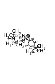 CC1(C)CC(NS(=O)(=O)c2ccc(C(C)(C)C)cc2)CC(C)(C)N1